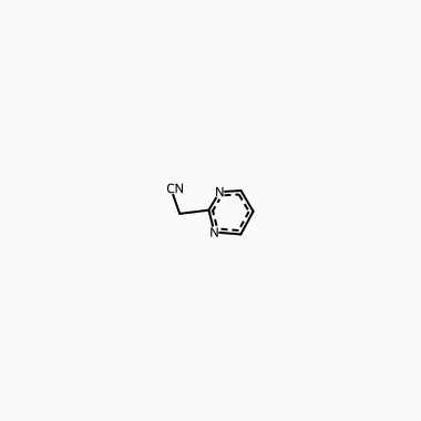 N#CCc1ncccn1